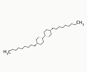 CCCCCCCCC[C@H]1CC[C@H]([C@H]2CC[C@H](CCCCCCCCC)CC2)CC1